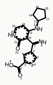 N=C(c1csc(C(=O)O)c1)c1c(NC2CCCC2)cc[nH]c1=O